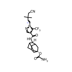 CC(C)(/C=C/n1ncc(C(=O)N[C@H]2C3CC4CC2C[C@](OC(N)=O)(C4)C3)c1C(F)(F)F)CC#N